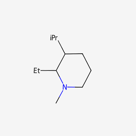 CCC1C(C(C)C)CCCN1C